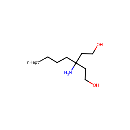 CCCCCCCCCCC(N)(CCO)CCO